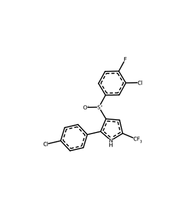 [O-][S+](c1ccc(F)c(Cl)c1)c1cc(C(F)(F)F)[nH]c1-c1ccc(Cl)cc1